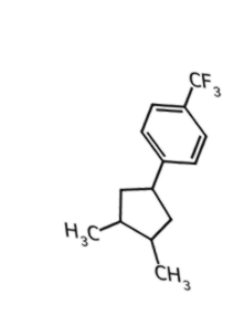 CC1CC(c2ccc(C(F)(F)F)cc2)CC1C